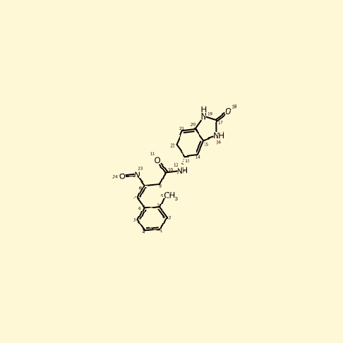 Cc1ccccc1/C=C(\CC(=O)N[C@H]1C=c2[nH]c(=O)[nH]c2=CC1)N=O